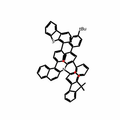 CC(C)(C)c1ccc(-c2ccc(N(c3ccc4c(c3)-c3ccccc3C4(C)C)c3ccc4ccccc4c3-c3ccc(-c4cccc5c4sc4ccccc45)cc3)c(-c3ccccc3)c2)cc1